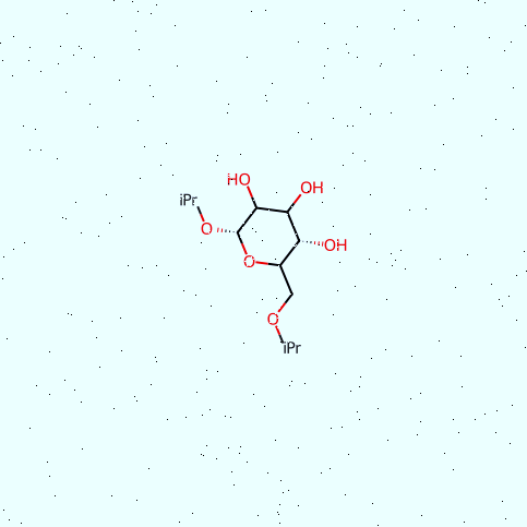 CC(C)OCC1O[C@H](OC(C)C)C(O)C(O)[C@@H]1O